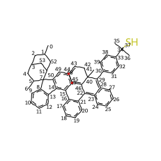 CC1CC2CC(C)C3(c4ccccc4-c4c(-c5ccccc5C5=c6ccccc6=C(c6ccc(C(C)(C)S)cc6)C6(C)CC=CC=C56)cccc43)C(C1)C2